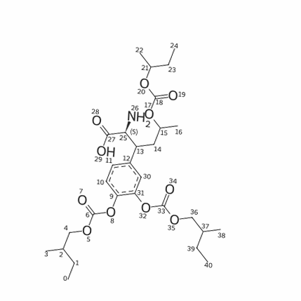 CCC(C)COC(=O)Oc1ccc(C(CC(C)OC(=O)OC(C)CC)[C@H](N)C(=O)O)cc1OC(=O)OCC(C)CC